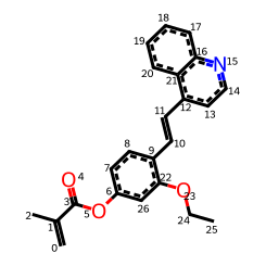 C=C(C)C(=O)Oc1ccc(C=Cc2ccnc3ccccc23)c(OCC)c1